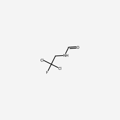 O=[C]NCC(F)(Cl)Cl